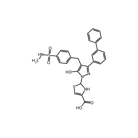 CNS(=O)(=O)c1ccc(Cc2c(-c3cccc(-c4ccccc4)c3)nn(C3NC(C(=O)O)=CS3)c2O)cc1